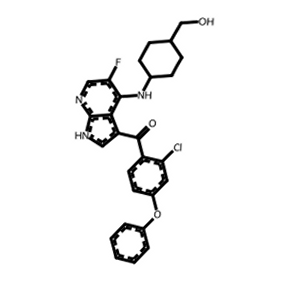 O=C(c1ccc(Oc2ccccc2)cc1Cl)c1c[nH]c2ncc(F)c(NC3CCC(CO)CC3)c12